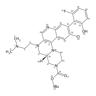 CN(C)CCN1C[C@H]2CN(C(=O)OC(C)(C)C)CCN2c2c1cnc1cc(-c3c(O)cccc3F)c(Cl)cc21